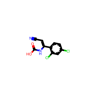 N#CC=C(NC(=O)O)c1ccc(Cl)cc1Cl